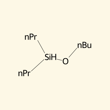 CCCCO[SiH](CCC)CCC